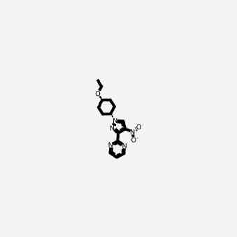 CCO[C@H]1CC[C@H](n2cc([N+](=O)[O-])c(-c3ncccn3)n2)CC1